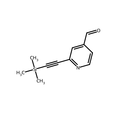 C[Si](C)(C)C#Cc1cc(C=O)ccn1